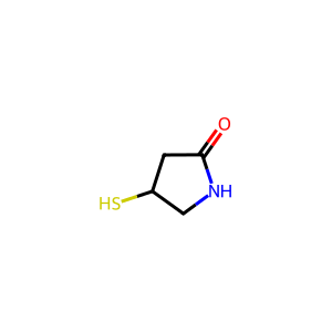 O=C1CC(S)CN1